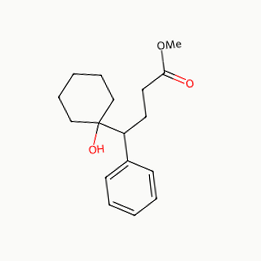 COC(=O)CCC(c1ccccc1)C1(O)CCCCC1